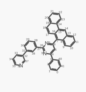 c1ccc(-c2cc(-c3c4ccccc4cc4c3ccc3ccccc34)nc(-c3cccc(-c4cccnc4)c3)n2)cc1